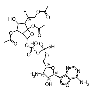 CC(=O)OC[C@H](F)C1C(O)C(OC(C)=O)C2C(OP(=O)(O)OP(=O)(S)OC[C@H]3O[C@@H](c4coc5c(N)ncnc45)[C@H](O)[C@@H]3N)OC21OC(C)=O